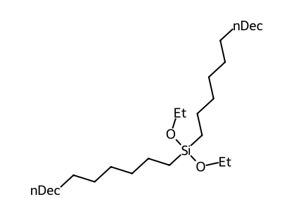 CCCCCCCCCCCCCCCC[Si](CCCCCCCCCCCCCCCC)(OCC)OCC